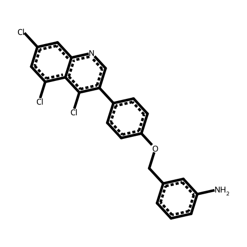 Nc1cccc(COc2ccc(-c3cnc4cc(Cl)cc(Cl)c4c3Cl)cc2)c1